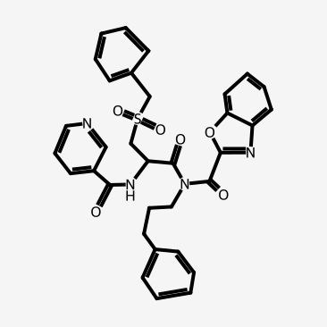 O=C(NC(CS(=O)(=O)Cc1ccccc1)C(=O)N(CCCc1ccccc1)C(=O)c1nc2ccccc2o1)c1cccnc1